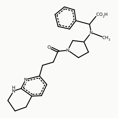 CN(C1CCN(C(=O)CCc2ccc3c(n2)NCCC3)C1)C(C(=O)O)c1ccccc1